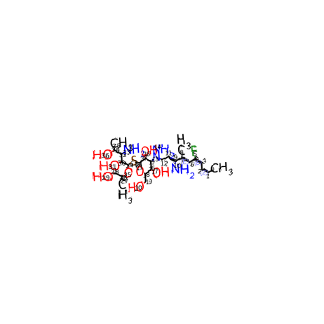 C\C=C/C=C(F)\C=C(/C)C(N)=CCN(N)C1C(O)C(CO)O[C@@H](SC(OC(C)CO)C(O)C(N)C(C)O)C1O